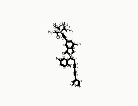 CC(C)[Si](C#Cc1cc(F)c2c(c1)C(=O)N(C(CC#CC#Cc1cc[nH]c1)c1cc(F)ccc1F)C2)(C(C)C)C(C)C